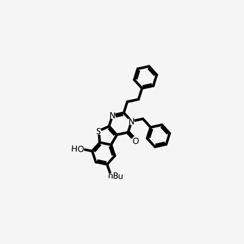 CCCCc1cc(O)c2sc3nc(CCc4ccccc4)n(Cc4ccccc4)c(=O)c3c2c1